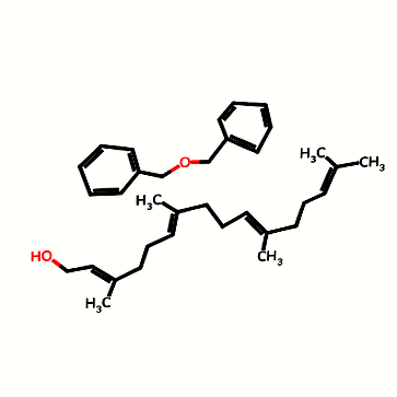 CC(C)=CCCC(C)=CCCC(C)=CCCC(C)=CCO.c1ccc(COCc2ccccc2)cc1